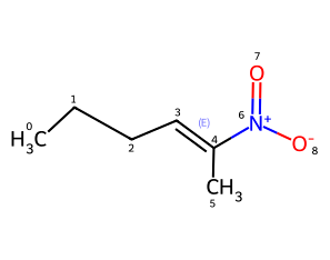 CCC/C=C(\C)[N+](=O)[O-]